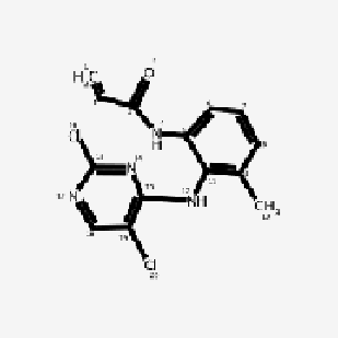 C=CC(=O)Nc1cccc(C)c1Nc1nc(Cl)ncc1Cl